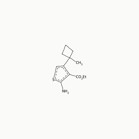 CCOC(=O)c1c(C2(C)CCC2)csc1N